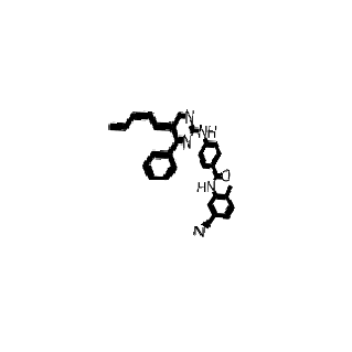 C=C/C=C\C=C1/CN=C(Nc2ccc(C(=O)Nc3cc(C#N)ccc3C)cc2)N=C1c1ccccc1